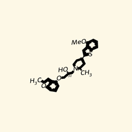 COc1cccc2sc([C@@H]3CCN(C[C@H](O)COc4cccc5oc(C)cc45)[C@H](C)C3)cc12